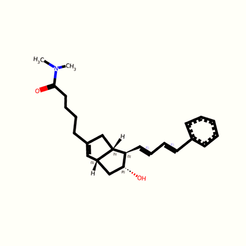 CN(C)C(=O)CCCCC1=C[C@H]2C[C@@H](O)[C@H](/C=C/C=C/c3ccccc3)[C@H]2C1